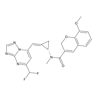 COc1cccc2c1OCC(C(=O)N(C)[C@H]1C/C1=C/c1cc(C(F)F)nc3ncnn13)=C2